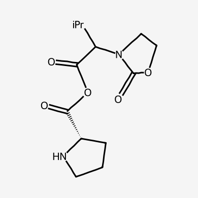 CC(C)C(C(=O)OC(=O)[C@@H]1CCCN1)N1CCOC1=O